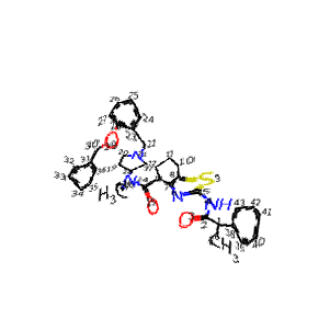 CC(C(=O)Nc1nc2c(s1)CCCC2C(=O)N(C)C1CCN(Cc2ccccc2OCc2ccccc2)C1)c1ccccc1